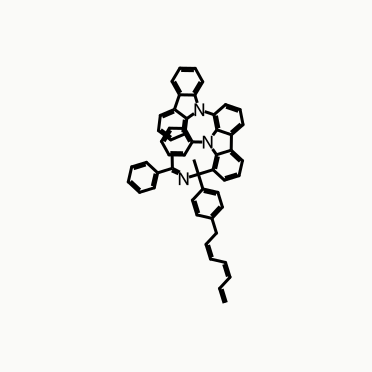 C=C/C=C\C=C/Cc1ccc(C(C)(/N=C(\C)c2ccccc2)c2cccc3c4cccc(-n5c6ccccc6c6ccccc65)c4n(-c4ccccc4)c23)cc1